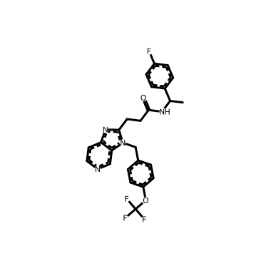 CC(NC(=O)CCc1nc2ccncc2n1Cc1ccc(OC(F)(F)F)cc1)c1ccc(F)cc1